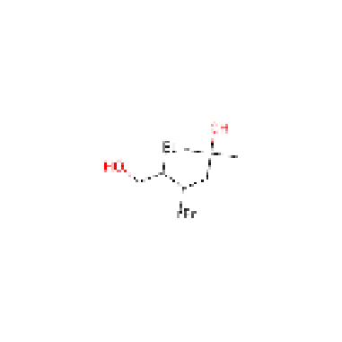 CCCC(CC(C)(C)O)C(CC)CO